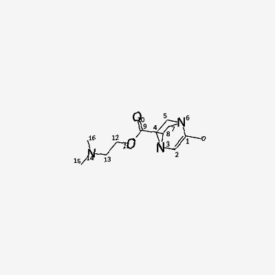 CC1=CN2CCN1CC2C(=O)OCCN(C)C